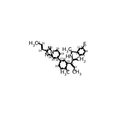 C=C(NC(C)c1cccc(F)c1)/C(=C/C)c1cc(-c2ccn3nc(/C=C/C)nc3c2)ccc1C